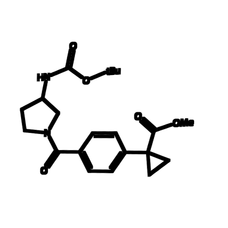 COC(=O)C1(c2ccc(C(=O)N3CCC(NC(=O)OC(C)(C)C)C3)cc2)CC1